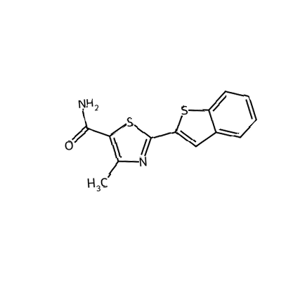 Cc1nc(-c2cc3ccccc3s2)sc1C(N)=O